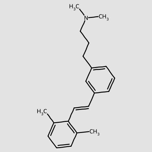 Cc1cccc(C)c1C=Cc1cccc(CCCN(C)C)c1